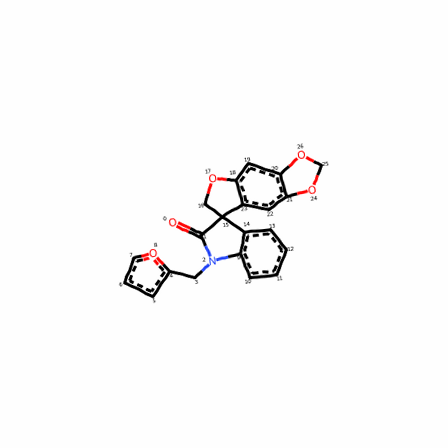 O=C1N(Cc2ccco2)c2ccccc2C12COc1cc3c(cc12)OCO3